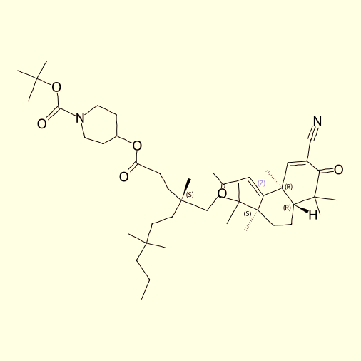 CCCC(C)(C)CC[C@](C)(CCC(=O)OC1CCN(C(=O)OC(C)(C)C)CC1)CCC(C)(C)[C@]1(C)CC[C@H]2C(C)(C)C(=O)C(C#N)=C[C@]2(C)/C1=C/C(C)=O